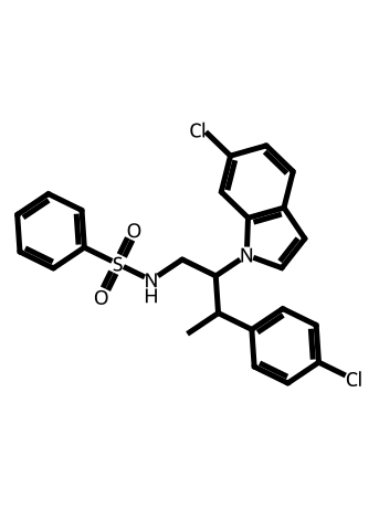 CC(c1ccc(Cl)cc1)C(CNS(=O)(=O)c1ccccc1)n1ccc2ccc(Cl)cc21